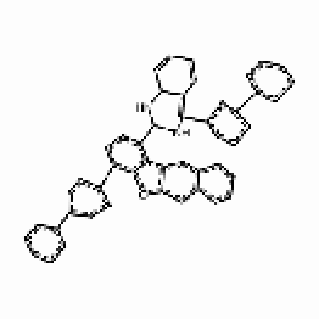 C1=CC2=C(c3cccc(-c4ccccc4)c3)NC(c3ccc(-c4ccc(-c5ccccc5)cc4)c4oc5cc6ccccc6cc5c34)NC2C=C1